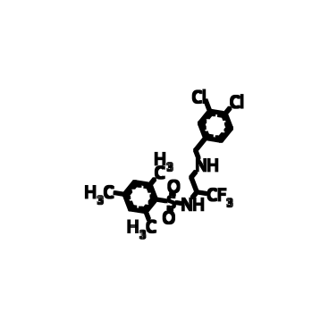 Cc1cc(C)c(S(=O)(=O)NC(CNCc2ccc(Cl)c(Cl)c2)C(F)(F)F)c(C)c1